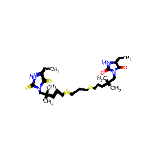 CCC1NC(=O)N(CC(C)(C)CCCSCCCSCCCC(C)(C)CN2C(=S)NC(CC)C2=S)C1=O